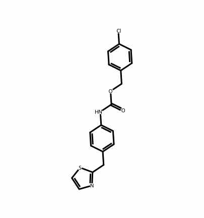 O=C(Nc1ccc(Cc2nccs2)cc1)OCc1ccc(Cl)cc1